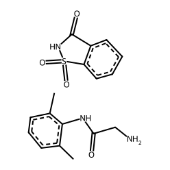 Cc1cccc(C)c1NC(=O)CN.O=C1NS(=O)(=O)c2ccccc21